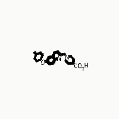 CC1CCC(Oc2ccc3nc(CN4CCC(C(=O)O)CC4)ccc3c2)CC1